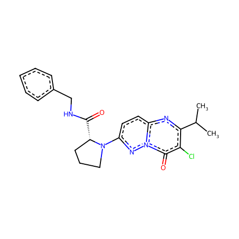 CC(C)c1nc2ccc(N3CCC[C@@H]3C(=O)NCc3ccccc3)nn2c(=O)c1Cl